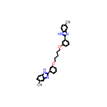 N#Cc1ccc2[nH]c(-c3cccc(OCCCCCOc4cccc(-c5nc6cc(C#N)ccc6[nH]5)c4)c3)nc2c1